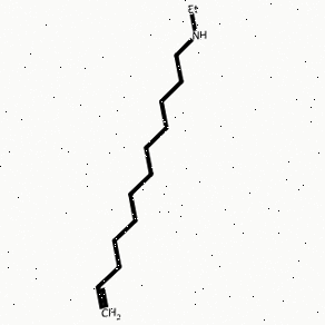 C=CCCCCCCCCCCNCC